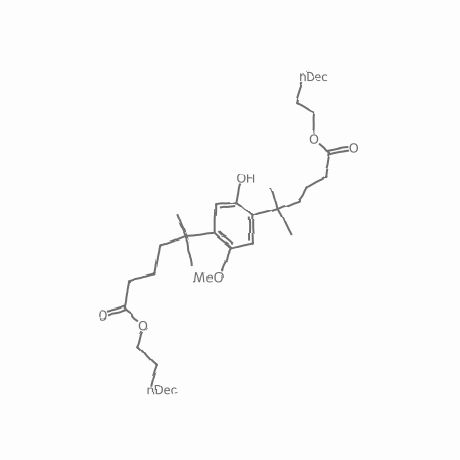 CCCCCCCCCCCCOC(=O)CCCC(C)(C)c1cc(OC)c(C(C)(C)CCCC(=O)OCCCCCCCCCCCC)cc1O